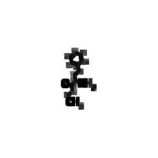 CCCC(=O)[C@H](N)CCc1ccccc1